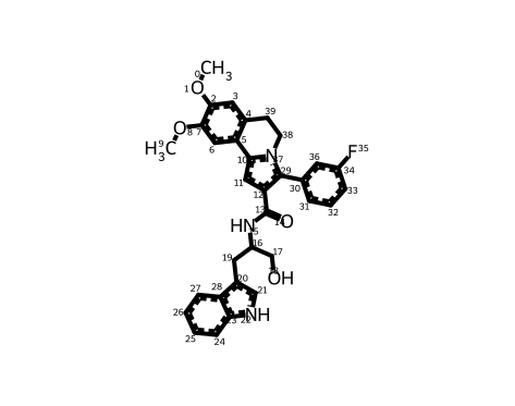 COc1cc2c(cc1OC)-c1cc(C(=O)NC(CO)Cc3c[nH]c4ccccc34)c(-c3cccc(F)c3)n1CC2